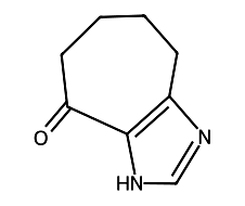 O=C1CCCCc2nc[nH]c21